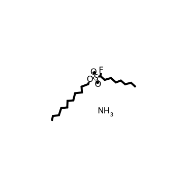 CCCCCCCCCCCOS(=O)(=O)C(F)CCCCCCC.N